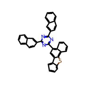 c1ccc2cc(-c3nc(-c4ccc5ccccc5c4)nc(-c4cc5c6ccccc6sc5c5ccccc45)n3)ccc2c1